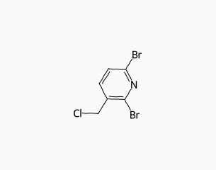 ClCc1ccc(Br)nc1Br